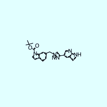 CC(C)(C)OC(=O)n1ccc2ccc(Cn3cc(-c4cnc5[nH]ccc5c4)nn3)cc21